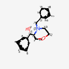 O[C@@H](c1ccccc1)C1COCCN1Cc1ccccc1